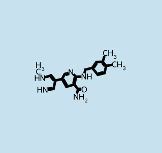 CN/C=C(\C=N)c1cnc(NCc2ccc(C)c(C)c2)c(C(N)=O)c1